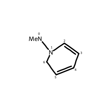 CNN1C=CC=CC1